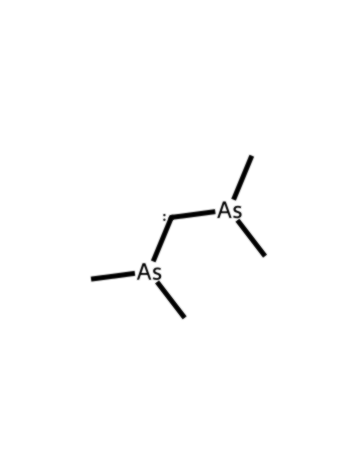 C[As](C)[C][As](C)C